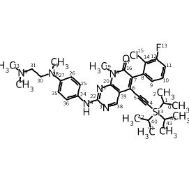 CC(C)[Si](C#Cc1c(-c2cccc(F)c2Cl)c(=O)n(C)c2nc(Nc3ccc(N(C)CCN(C)C)cc3)ncc12)(C(C)C)C(C)C